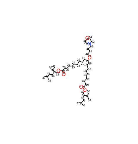 CC(C)CCC(COC(=O)CCCCCCCCCC(CCCCCCCCCC(=O)OCC(CCC(C)C)C(C)C)OCCCCN1CCOCC1)C(C)C